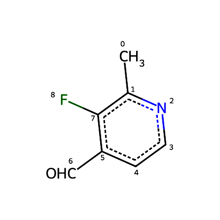 Cc1nccc(C=O)c1F